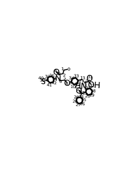 CCCC(=O)N(CCOc1ccc(C[C@H](Nc2ccccc2C(=O)c2ccccc2)C(=O)O)cc1)c1ccc(SC)cc1